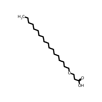 CCCCCCCCCCCCCCCCCCOCCC(=O)O